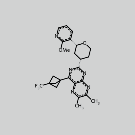 COc1ncccc1[C@H]1C[C@@H](c2nc(C34CC(C(F)(F)F)(C3)C4)c3nc(C)c(C)nc3n2)CCO1